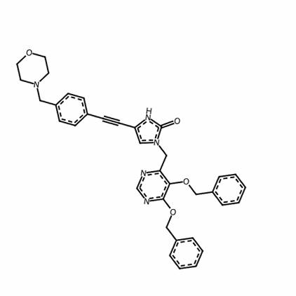 O=c1[nH]c(C#Cc2ccc(CN3CCOCC3)cc2)cn1Cc1ncnc(OCc2ccccc2)c1OCc1ccccc1